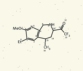 CCc1cc2c(nc1OC)CNC(C(=O)C(F)(F)F)CC2C